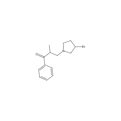 CCC1CCN(CC(C)C(=O)c2ccccc2)C1